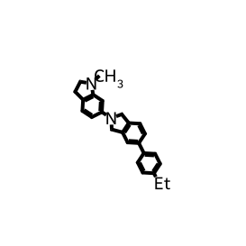 CCc1ccc(-c2ccc3c(c2)CN(c2ccc4c(c2)N(C)CC4)C3)cc1